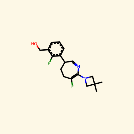 CC1(C)CN(C2=C(F)CCC(c3cccc(CO)c3F)C=N2)C1